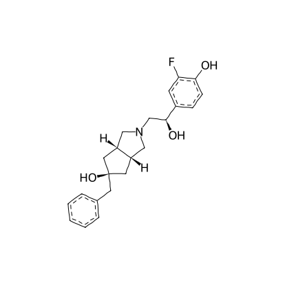 Oc1ccc([C@@H](O)CN2C[C@@H]3C[C@](O)(Cc4ccccc4)C[C@@H]3C2)cc1F